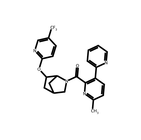 Cc1ccc(-c2ccccn2)c(C(=O)N2CC3CC(Oc4ccc(C(F)(F)F)cn4)C2C3)n1